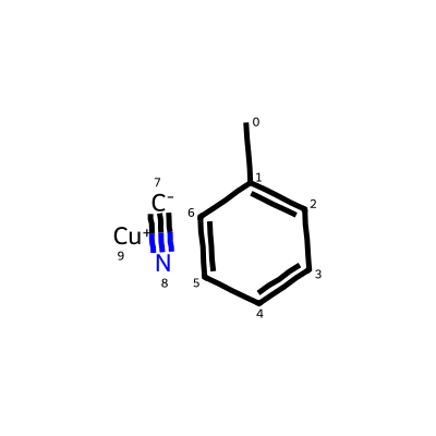 Cc1ccccc1.[C-]#N.[Cu+]